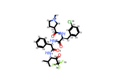 CC(C)[C@H](NC(=O)[C@@H](NC(=O)[C@H](Cc1cccc(Cl)c1)NC(=O)C1CCN(C)C1)c1ccccc1)C(=O)C(F)(F)F